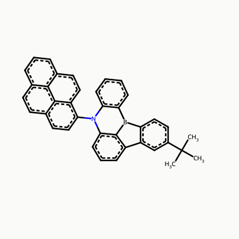 CC(C)(C)c1ccc2c(c1)-c1cccc3c1B2c1ccccc1N3c1ccc2ccc3cccc4ccc1c2c34